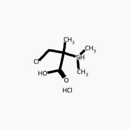 C[SiH](C)C(C)(CCl)C(=O)O.Cl